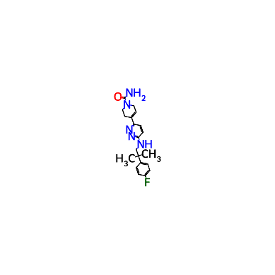 CC(C)(CNc1ccc(C2=CCN(C(N)=O)CC2)nn1)c1ccc(F)cc1